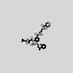 C=C(CCN(CCC)c1ccc(C(=O)NCCCNC(=O)C2CCOCC2)cc1NC(=O)c1coc(C2CC2)n1)c1ccccc1C